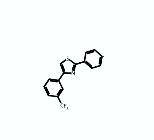 FC(F)(F)c1cccc(-c2csc(-c3cc[c]cc3)n2)c1